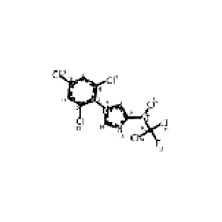 [O-][S+](c1cn(-c2c(Cl)cc(Cl)cc2Cl)cn1)C(F)(Cl)Cl